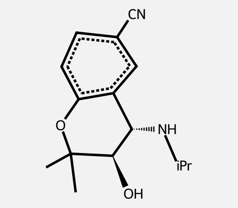 CC(C)N[C@H]1c2cc(C#N)ccc2OC(C)(C)[C@@H]1O